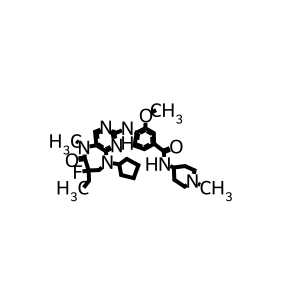 CCC1(F)CN(C2CCCC2)c2nc(Nc3ccc(C(=O)NC4CCN(C)CC4)cc3OC)ncc2N(C)C1=O